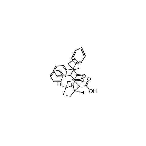 O=C(O)[C@@H]1[C@H]2CC[C@@H](CN1C(=O)C(c1ccccc1)c1ccccc1)N2C(=O)C(c1ccccc1)C1CCCC1